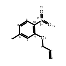 C=CCOc1cc(C)ccc1[SH](=O)=O